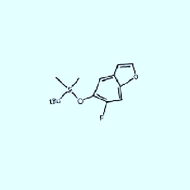 CC(C)(C)[Si](C)(C)Oc1cc2ccoc2cc1F